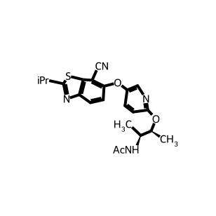 CC(=O)N[C@@H](C)[C@H](C)Oc1ccc(Oc2ccc3nc(C(C)C)sc3c2C#N)cn1